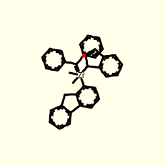 [CH3][Zr]([CH3])(=[C](c1ccccc1)c1ccccc1)([c]1cccc2c1Cc1ccccc1-2)[CH]1C=Cc2ccccc21